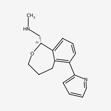 CNC[C@H]1OCCCc2c(-c3ccccn3)cccc21